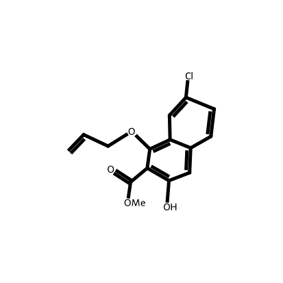 C=CCOc1c(C(=O)OC)c(O)cc2ccc(Cl)cc12